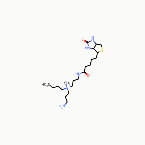 C[N+](CCCN)(CCCNC(=O)CCCCC1SCC2NC(=O)NC21)CCCS(=O)(=O)O